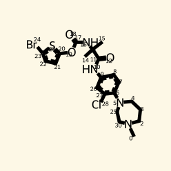 CN1CCCN(c2ccc(NC(=O)C(C)(C)NC(=O)Oc3ccc(Br)s3)cc2Cl)CC1